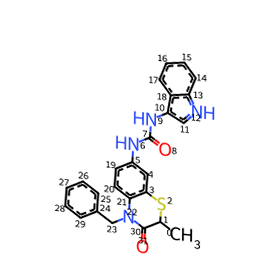 CC1Sc2cc(NC(=O)Nc3c[nH]c4ccccc34)ccc2N(Cc2ccccc2)C1=O